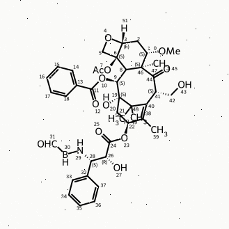 CO[C@H]1C[C@H]2OC[C@@]2(OC(C)=O)C2[C@H](OC(=O)c3ccccc3)[C@]3(O)C[C@H](OC(=O)[C@H](O)[C@@H](NBC=O)c4ccccc4)C(C)=C([C@@H](CO)C(=O)[C@@]21C)C3(C)C